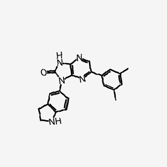 Cc1cc(C)cc(-c2cnc3[nH]c(=O)n(-c4ccc5c(c4)CCN5)c3n2)c1